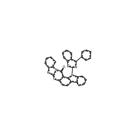 O=c1c2c(ccc3c4ccccc4n(-c4nc(-c5ccccc5)c5ccccc5n4)c32)sc2nc3ccccc3n12